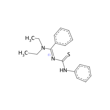 CCN(CC)/C(=N/C(=S)Nc1ccccc1)c1ccccc1